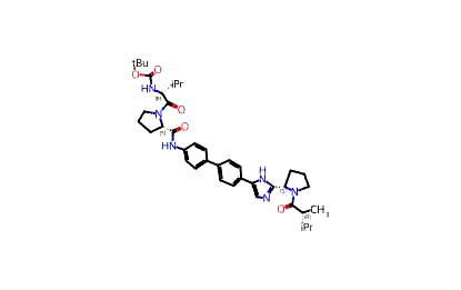 CC(C)[C@@H](C)C(=O)N1CCC[C@H]1c1ncc(-c2ccc(-c3ccc(NC(=O)[C@@H]4CCCN4C(=O)[C@H](NC(=O)OC(C)(C)C)C(C)C)cc3)cc2)[nH]1